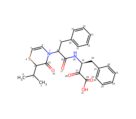 CC(C)C1SC=CN(C(Cc2ccccc2)C(=O)N[C@@H](Cc2ccccc2)C(=O)C(=O)O)C1=O